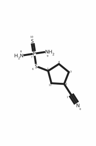 N#CC1CCC(SP(N)(N)=S)C1